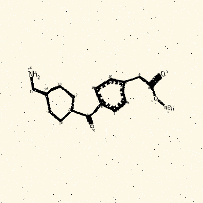 CCCCOC(=O)Cc1ccc(C(=O)C2CCC(CN)CC2)cc1